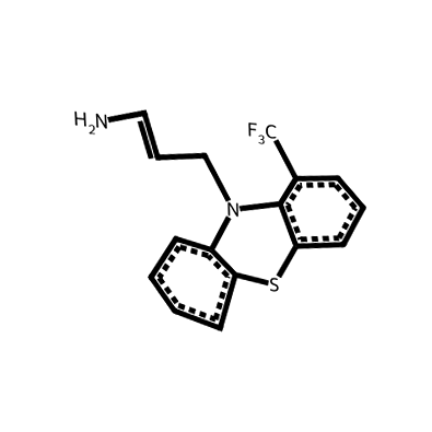 NC=CCN1c2ccccc2Sc2cccc(C(F)(F)F)c21